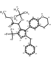 CCOC(=O)C(OC(C)(C)C)c1c(C(F)(F)F)nn(Cc2ccccc2)c1-c1ccc2c(c1)CCCO2